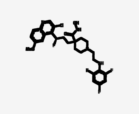 COc1ccc2ncc(Cl)c([C@H](F)CCC3(C(=O)NO)CCN(CCNc4c(F)cc(F)cc4F)CC3)c2c1